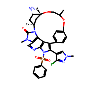 CC1CO[C@@H]2C[C@H](C[C@@H]2N)n2c(=O)n(C)c3cnc4c(c(c(-c5cn(C)nc5F)n4S(=O)(=O)c4ccccc4)-c4ccc(cc4)O1)c32